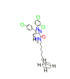 Cc1c(C(=O)NCCCCCCCCC2[C@H]3C[C@@H]4C[C@@H](C[C@H]2C4)C3)nn(-c2ccc(Cl)cc2Cl)c1-c1ccc(Cl)cc1